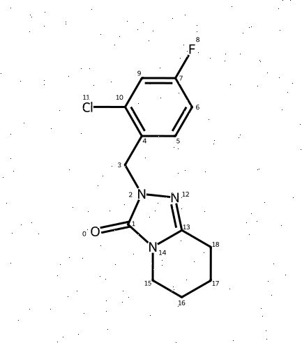 O=c1n(Cc2ccc(F)cc2Cl)nc2n1CCCC2